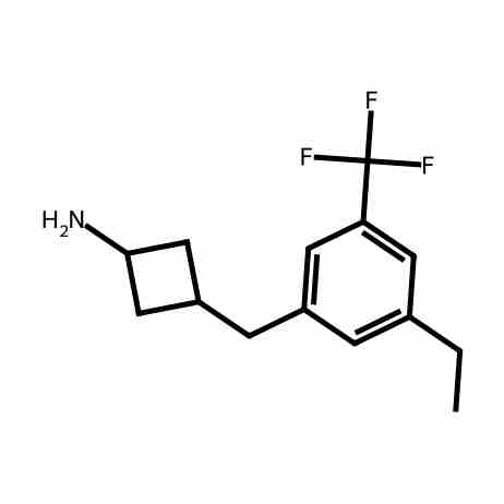 CCc1cc(CC2CC(N)C2)cc(C(F)(F)F)c1